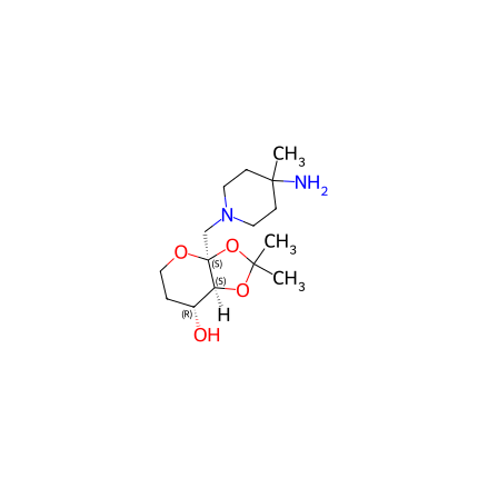 CC1(N)CCN(C[C@@]23OCC[C@@H](O)[C@@H]2OC(C)(C)O3)CC1